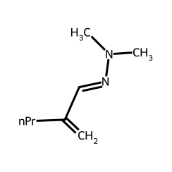 C=C(C=NN(C)C)CCC